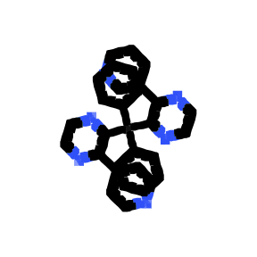 c1ccc([Si](c2ccccc2)(c2nccnc2-c2ccncc2)c2nccnc2-c2cccnc2)cc1